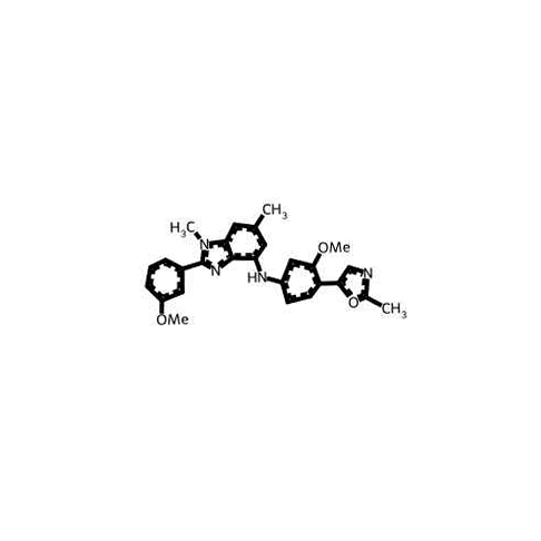 COc1cccc(-c2nc3c(Nc4ccc(-c5cnc(C)o5)c(OC)c4)cc(C)cc3n2C)c1